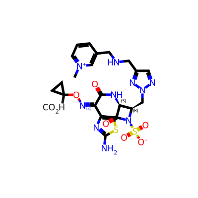 C[n+]1cccc(CNCc2cnn(C[C@@H]3[C@H](NC(=O)/C(=N\OC4(C(=O)O)CC4)c4csc(N)n4)C(=O)N3S(=O)(=O)[O-])n2)c1